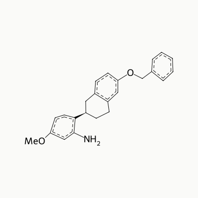 COc1ccc([C@@H]2CCc3cc(OCc4ccccc4)ccc3C2)c(N)c1